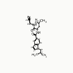 CC(C)CC(NC(=O)c1ccc2c(ccn2CC(C)C)c1)C(=O)NCC#N